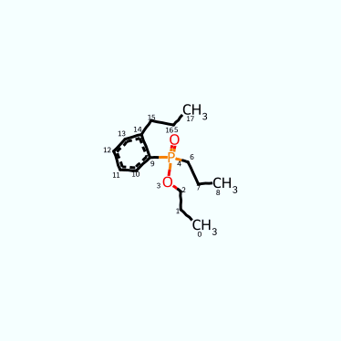 CCCOP(=O)(CCC)c1ccccc1CCC